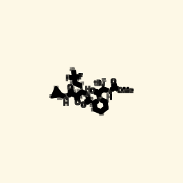 COC(=O)N[C@H](C(=O)N1CCCC[C@H]1C(=O)N[C@@H](CCC(C)(F)F)C(=O)C(=O)NC1CC1)C(C)(C)C